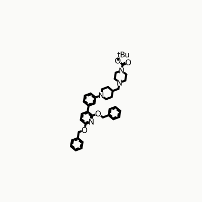 CC(C)(C)OC(=O)N1CCN(CC2CCN(c3cccc(-c4ccc(OCc5ccccc5)nc4OCc4ccccc4)c3)CC2)CC1